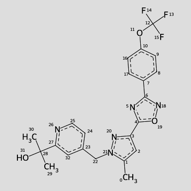 Cc1cc(-c2nc(-c3ccc(OC(F)(F)F)cc3)no2)nn1Cc1ccnc(C(C)(C)O)c1